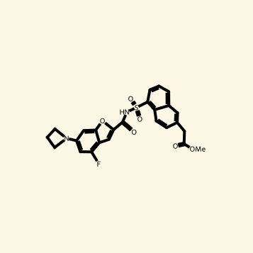 COC(=O)Cc1ccc2c(S(=O)(=O)NC(=O)c3cc4c(F)cc(N5CCC5)cc4o3)cccc2c1